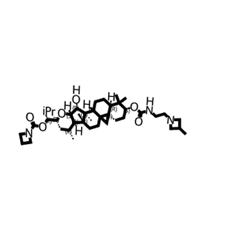 CC1CN(CCNC(=O)O[C@H]2CC[C@]34CC35CC[C@]3(C)[C@@H]6[C@H](O[C@@H]([C@H](OC(=O)N7CCC7)C(C)C)C[C@H]6C)[C@H](O)[C@@]3(C)[C@@H]5CC[C@H]4C2(C)C)C1